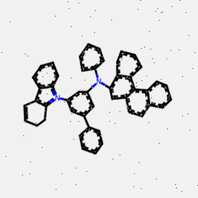 C1=Cc2c(n(-c3cc(-c4ccccc4)cc(N(c4ccccc4)c4cc5ccc6ccccc6c5c5ccccc45)c3)c3ccccc23)CC1